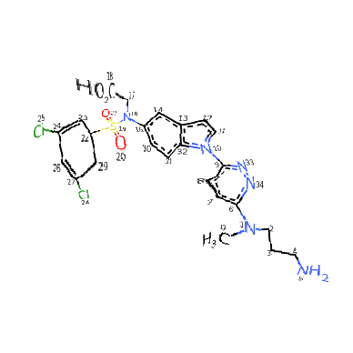 CN(CCCN)c1ccc(-n2ccc3cc(N(CC(=O)O)S(=O)(=O)C4C=C(Cl)C=C(Cl)C4)ccc32)nn1